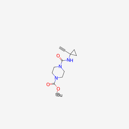 C#CC1(NC(=O)N2CCN(C(=O)OC(C)(C)C)CC2)CC1